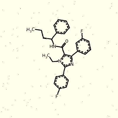 CCCC(NC(=O)c1c(-c2cccc(F)c2)nc(-c2ccc(F)cc2)n1CC)c1ccccc1